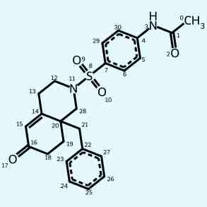 CC(=O)Nc1ccc(S(=O)(=O)N2CCC3=CC(=O)CCC3(Cc3ccccc3)C2)cc1